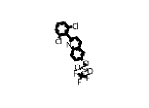 O=S(=O)(Oc1ccc2nc(-c3c(Cl)cccc3Cl)ccc2c1)C(F)(F)F